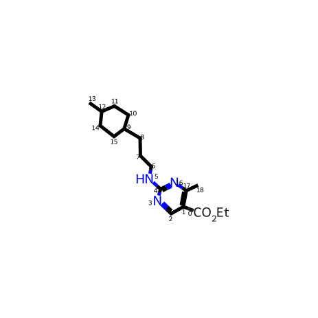 CCOC(=O)c1cnc(NCCCC2CCC(C)CC2)nc1C